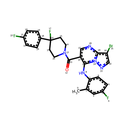 Cc1cc(F)ccc1Nc1c(C(=O)N2CCC(F)(c3ccc(F)cc3)CC2)cnc2c(Br)cnn12